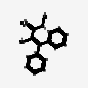 C=C(OCC)C(C#N)=C(c1ccccc1)c1ccccc1